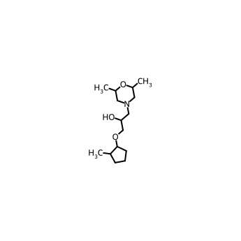 CC1CN(CC(O)COC2CCCC2C)CC(C)O1